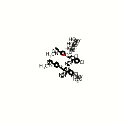 Cc1nccc(-c2ccc(OCC3COC(Cn4ccnc4)(c4ccc(Cl)cc4Cl)O3)cc2)n1.Cc1nccc(-c2ccc(OCC3COC(Cn4ccnc4)(c4ccc(Cl)cc4Cl)O3)cc2)n1.O.O=[N+]([O-])O.O=[N+]([O-])O.O=[N+]([O-])O.O=[N+]([O-])O